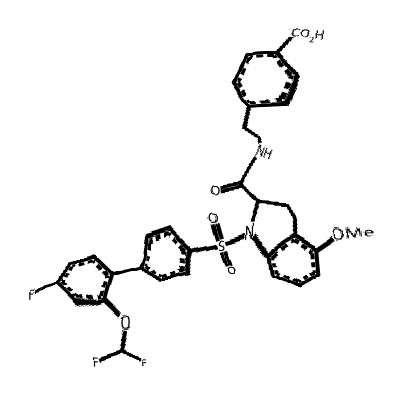 COc1cccc2c1CC(C(=O)NCc1ccc(C(=O)O)cc1)N2S(=O)(=O)c1ccc(-c2ccc(F)cc2OC(F)F)cc1